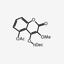 CCCCCCCCCCOc1c(OC)c(=O)oc2cccc(OC(C)=O)c12